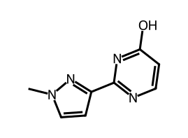 Cn1ccc(-c2nccc(O)n2)n1